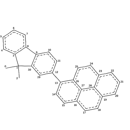 CC1(C)c2c[c]ccc2-c2ccc(-c3ccc4ccc5cccc6ccc3c4c56)cc21